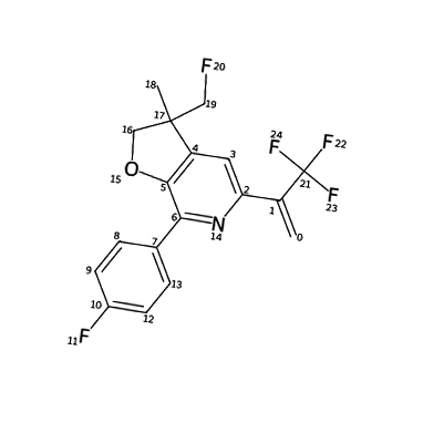 C=C(c1cc2c(c(-c3ccc(F)cc3)n1)OCC2(C)CF)C(F)(F)F